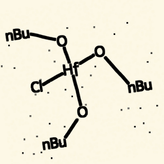 CCCC[O][Hf]([Cl])([O]CCCC)[O]CCCC